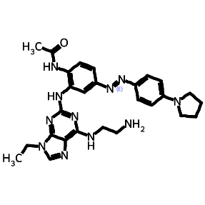 CCn1cnc2c(NCCN)nc(Nc3cc(/N=N/c4ccc(N5CCCC5)cc4)ccc3NC(C)=O)nc21